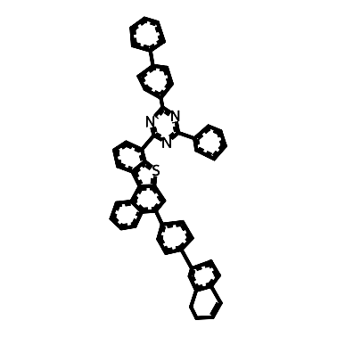 C1=Cc2ccc(-c3ccc(-c4cc5sc6c(-c7nc(-c8ccccc8)nc(-c8ccc(-c9ccccc9)cc8)n7)cccc6c5c5ccccc45)cc3)cc2CC1